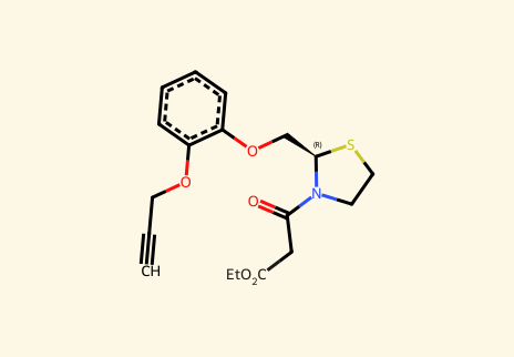 C#CCOc1ccccc1OC[C@H]1SCCN1C(=O)CC(=O)OCC